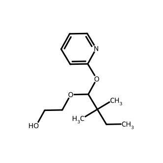 CCC(C)(C)C(OCCO)Oc1ccccn1